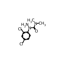 CN(C)C(=O)N(N)c1ccc(Cl)cc1Cl